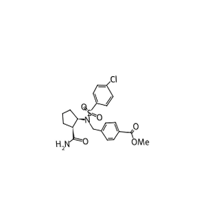 COC(=O)c1ccc(CN([C@@H]2CCC[C@@H]2C(N)=O)S(=O)(=O)c2ccc(Cl)cc2)cc1